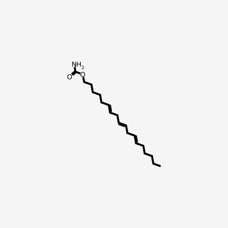 CCCCCC=CCC=CCC=CCCCCCOC(N)=O